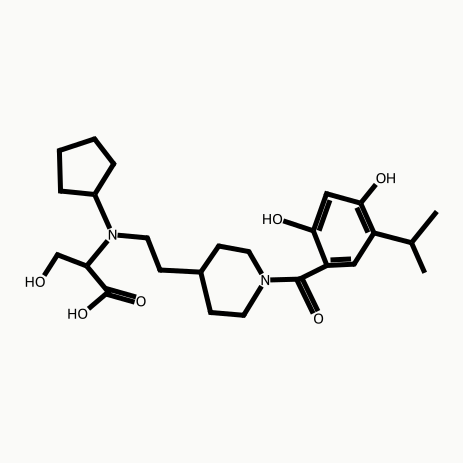 CC(C)c1cc(C(=O)N2CCC(CCN(C3CCCC3)C(CO)C(=O)O)CC2)c(O)cc1O